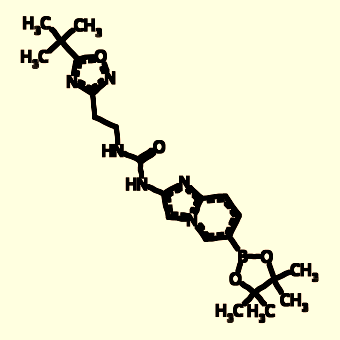 CC(C)(C)c1nc(CCNC(=O)Nc2cn3cc(B4OC(C)(C)C(C)(C)O4)ccc3n2)no1